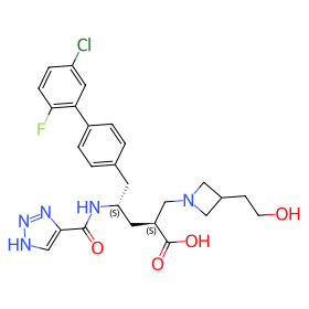 O=C(N[C@H](Cc1ccc(-c2cc(Cl)ccc2F)cc1)C[C@@H](CN1CC(CCO)C1)C(=O)O)c1c[nH]nn1